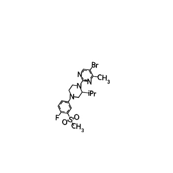 Cc1nc(N2CCN(c3ccc(F)c(S(C)(=O)=O)c3)CC2C(C)C)ncc1Br